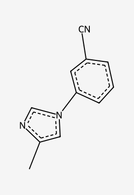 Cc1cn(-c2cccc(C#N)c2)cn1